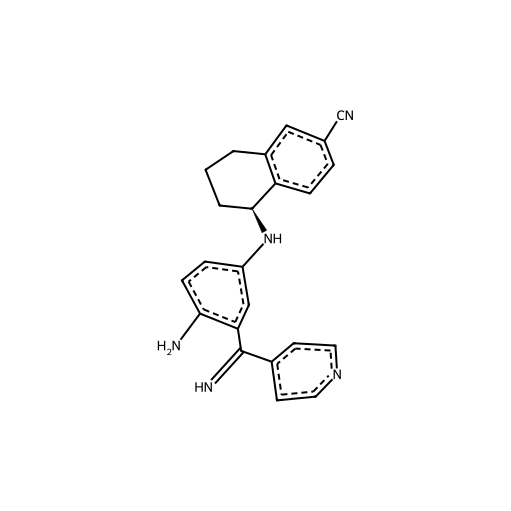 N#Cc1ccc2c(c1)CCC[C@@H]2Nc1ccc(N)c(C(=N)c2ccncc2)c1